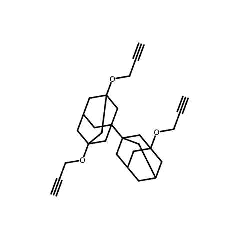 C#CCOC12CC3CC(C1)CC(C14CC5CC(OCC#C)(CC(OCC#C)(C5)C1)C4)(C3)C2